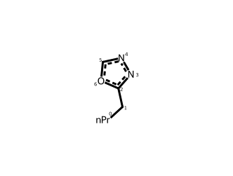 CCCCc1nn[c]o1